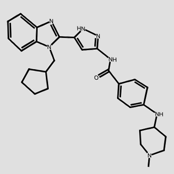 CN1CCC(Nc2ccc(C(=O)Nc3cc(-c4nc5ccccc5n4CC4CCCC4)[nH]n3)cc2)CC1